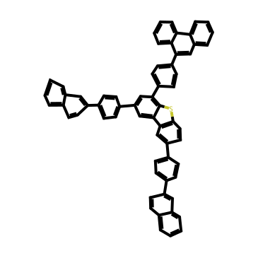 c1ccc2cc(-c3ccc(-c4ccc5sc6c(-c7ccc(-c8cc9ccccc9c9ccccc89)cc7)cc(-c7ccc(-c8ccc9ccccc9c8)cc7)cc6c5c4)cc3)ccc2c1